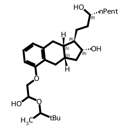 CCCCC[C@@H](O)CC[C@@H]1[C@H]2Cc3cccc(OCC(O)OC(C)C(C)(C)C)c3C[C@H]2C[C@H]1O